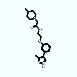 Cc1n[nH]cc1-c1c[c]cc(OCCNC(=O)CN2CCC(C)CC2)c1